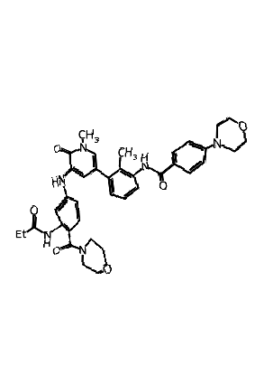 CCC(=O)Nc1cc(Nc2cc(-c3cccc(NC(=O)c4ccc(N5CCOCC5)cc4)c3C)cn(C)c2=O)ccc1C(=O)N1CCOCC1